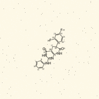 O=C1Nc2nc(Nc3ccccc3)[nH]c(=O)c2CC1c1ccc(F)cc1F